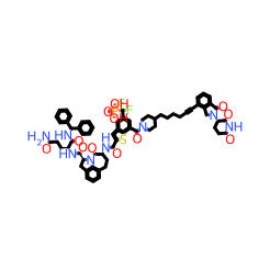 NC(=O)CC[C@H](NC(=O)[C@@H]1Cc2cccc3c2N1C(=O)[C@@H](NC(=O)c1cc2cc(C(F)(F)P(=O)(O)O)cc(C(=O)N4CCC(CCCCC#Cc5cccc6c5CN(C5CCC(=O)NC5=O)C6=O)CC4)c2s1)CC3)C(=O)NC(c1ccccc1)c1ccccc1